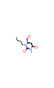 CCCCn1c(C=O)cc(=O)n(C)c1=O